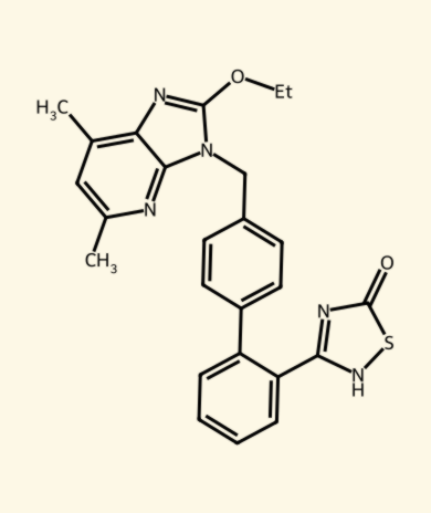 CCOc1nc2c(C)cc(C)nc2n1Cc1ccc(-c2ccccc2-c2nc(=O)s[nH]2)cc1